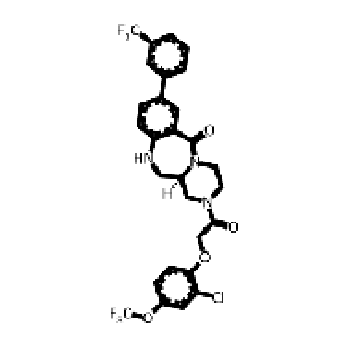 O=C(COc1ccc(OC(F)(F)F)cc1Cl)N1CCN2C(=O)c3cc(-c4cccc(C(F)(F)F)c4)ccc3NC[C@@H]2C1